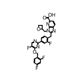 O=C(O)c1ccc2nc(Cc3ccc(-c4ncc(F)c(OCc5ccc(F)cc5F)n4)cc3F)n(CC3CCO3)c2n1